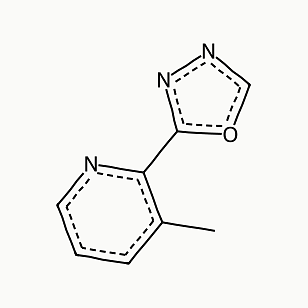 Cc1cccnc1-c1nnco1